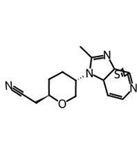 CC1=NC23SC=CC2=NC=CC3N1[C@H]1CC[C@H](CC#N)OC1